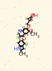 COc1cc2c(Oc3ccc4[nH]c(C)cc4c3F)c(F)cnc2cc1OCC1CC(O)C1